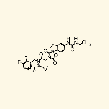 CCNC(=O)Nc1ccc2c(c1)CC[C@@]21OC(=O)N(CC(=O)N(Cc2cccc(F)c2F)[C@@H](C)C2CC2)C1=O